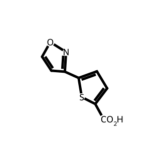 O=C(O)c1ccc(-c2ccon2)s1